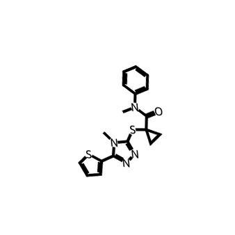 CN(C(=O)C1(Sc2nnc(-c3cccs3)n2C)CC1)c1ccccc1